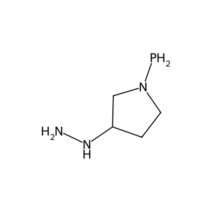 NNC1CCN(P)C1